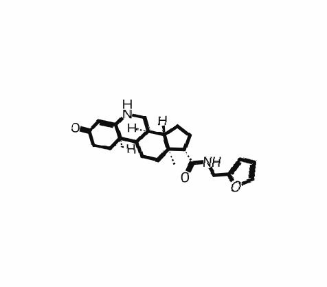 C[C@]12CC[C@H]3[C@@H](CNC4=CC(=O)CC[C@@]43C)[C@@H]1CC[C@@H]2C(=O)NCc1ccco1